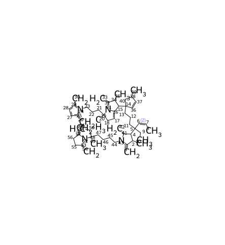 C=C1C(C)C(C(/C=C\C)(CC)CCCC2(C3C4=CCC(C)(CCCn5c(=C)ccc5=C)N4C(=C)C3C)C=CC(C)C2)C(=C)N1CCCCC(C)(CC)N1C(=C)CCC1=C